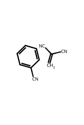 C=C(C#N)C#N.N#Cc1ccccc1